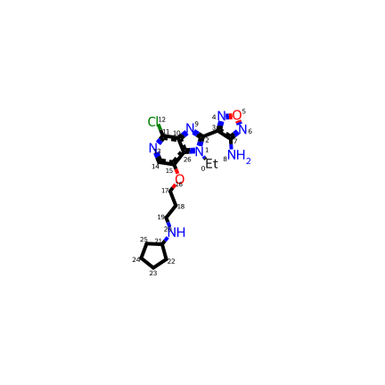 CCn1c(-c2nonc2N)nc2c(Cl)ncc(OCCCNC3CCCC3)c21